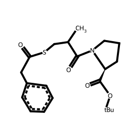 CC(CSC(=O)Cc1ccccc1)C(=O)N1CCC[C@H]1C(=O)OC(C)(C)C